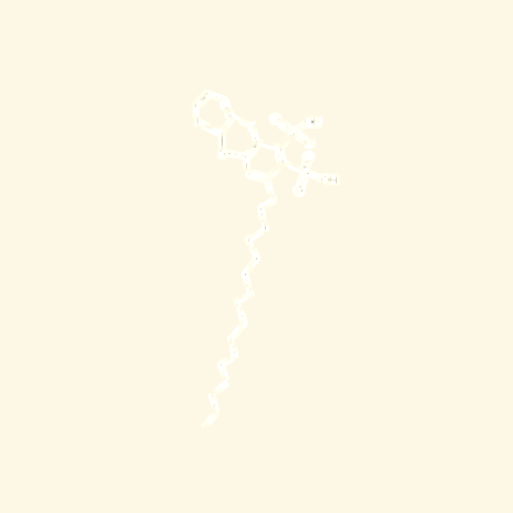 CCCCCCCCCCCCCCCCc1cc2c(c(S(=O)(=O)O)c1S(=O)(=O)O)Sc1ccccc1S2